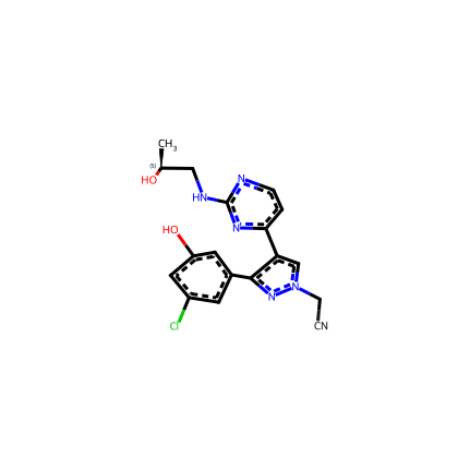 C[C@H](O)CNc1nccc(-c2cn(CC#N)nc2-c2cc(O)cc(Cl)c2)n1